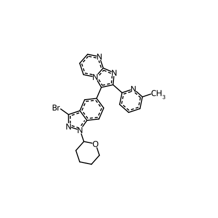 Cc1cccc(-c2nc3ncccn3c2-c2ccc3c(c2)c(Br)nn3C2CCCCO2)n1